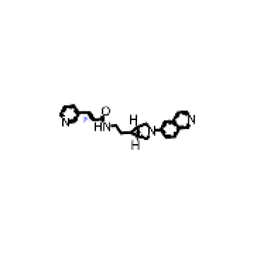 O=C(/C=C/c1cccnc1)NCCC1[C@H]2CN(c3ccc4cnccc4c3)C[C@@H]12